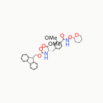 COC(=O)[C@H](Cc1ccc(C(=O)NOC2CCCCO2)c(OC)c1)NC(=O)OCC1c2ccccc2-c2ccccc21